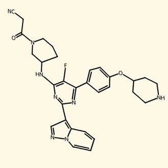 N#CCC(=O)N1CCCC(Nc2nc(-c3cnn4ccccc34)nc(-c3ccc(OC4CCNCC4)cc3)c2F)C1